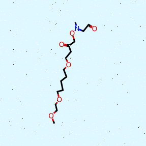 COCCOCCCCCOCCC(=O)CON(C)CC=O